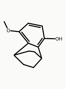 COc1ccc(O)c2c1C1CCC2CC1